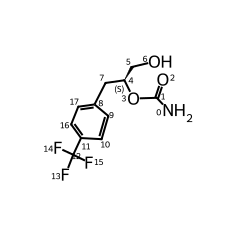 NC(=O)O[C@H](CO)Cc1ccc(C(F)(F)F)cc1